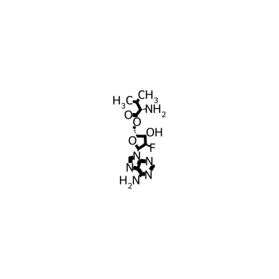 CC(C)[C@H](N)C(=O)OC[C@H]1O[C@@H](n2cnc3c(N)ncnc32)[C@H](F)[C@@H]1O